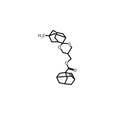 CC12CC3CC(C1)C1(OCC(COC(=O)C45CC6CC(C4)C(=O)C(C6)C5)CO1)C(C3)C2